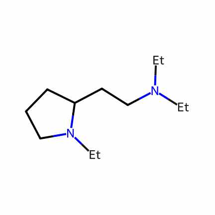 CCN(CC)CCC1CCCN1CC